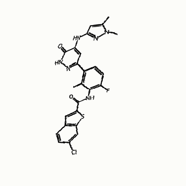 Cc1c(-c2cc(Nc3cc(C)n(C)n3)c(=O)[nH]n2)ccc(F)c1NC(=O)c1cc2ccc(Cl)cc2s1